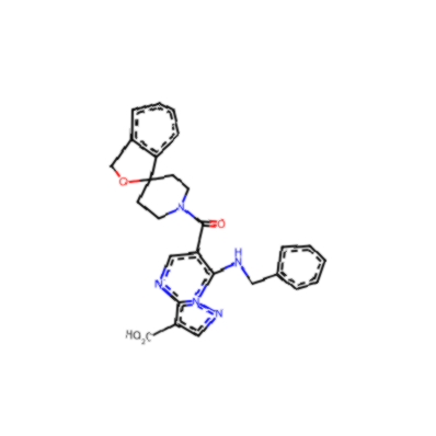 O=C(O)c1cnn2c(NCc3ccccc3)c(C(=O)N3CCC4(CC3)OCc3ccccc34)cnc12